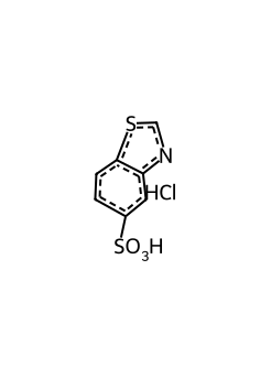 Cl.O=S(=O)(O)c1ccc2scnc2c1